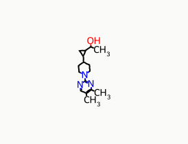 Cc1cnc(N2CCC(C3CC3C(C)O)CC2)nc1C